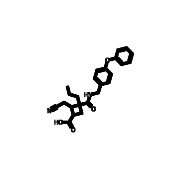 CCCC1(C(=O)NCc2ccc(Oc3ccccc3)cc2)CC(C(=O)O)C1CC#N